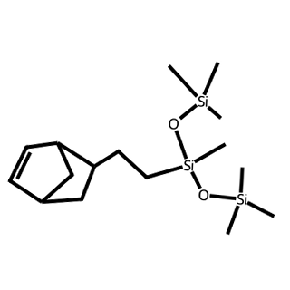 C[Si](C)(C)O[Si](C)(CCC1CC2C=CC1C2)O[Si](C)(C)C